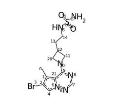 Cc1c(Br)cn2ncnc(N3CC(CCNS(N)(=O)=O)C3)c12